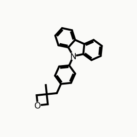 CC1(Cc2ccc(-n3c4ccccc4c4ccccc43)cc2)COC1